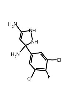 NC1=CC(N)(c2cc(Cl)c(F)c(Cl)c2)NN1